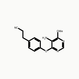 COc1ncnc(Oc2ccc(CCC#N)cc2)c1N